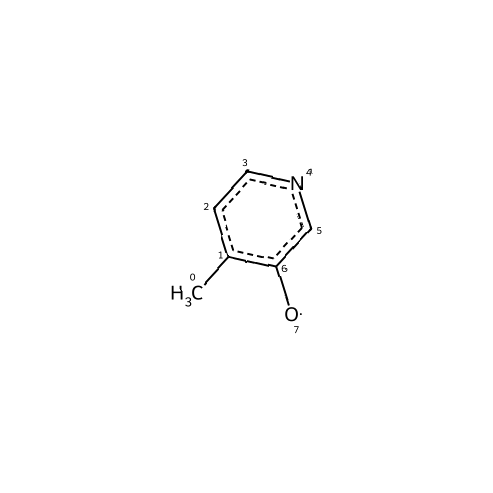 Cc1ccncc1[O]